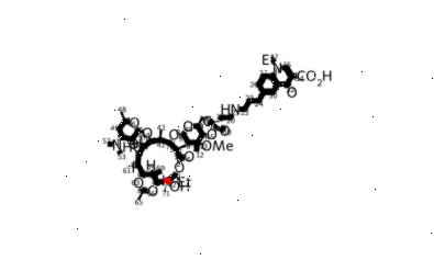 CC[C@H]1OC(=O)[C@H](C)[C@@H](O[C@H]2C[C@@](C)(OC)[C@@H](OS(=O)(=O)CCNCCCc3ccc4c(c3)c(=O)c(C(=O)O)cn4CC)[C@H](C)O2)[C@H](C)[C@@H](O[C@@H]2O[C@H](C)C[C@H](N(C)C)[C@H]2O)[C@](C)(O)C[C@@H](C)[C@@H]2O[C@H](C)O[C@H]([C@H]2C)[C@]1(C)O